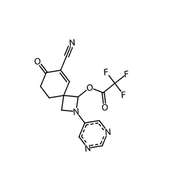 N#CC1=CC2(CCC1=O)CN(c1cncnc1)C2OC(=O)C(F)(F)F